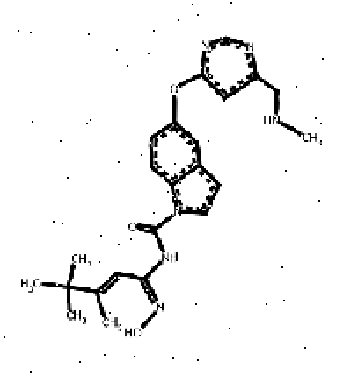 CNCc1cc(Oc2ccc3c(ccn3C(=O)NC(/C=C(\C)C(C)(C)C)=N/O)c2)ncn1